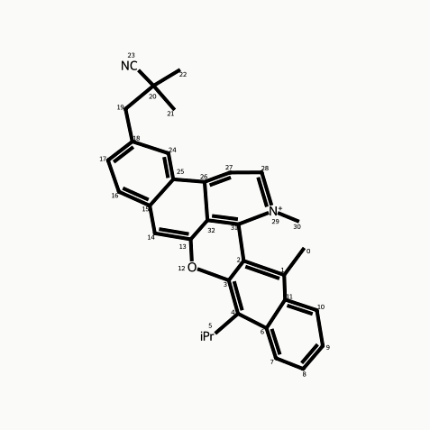 Cc1c2c(c(C(C)C)c3ccccc13)Oc1cc3ccc(CC(C)(C)C#N)cc3c3cc[n+](C)c-2c13